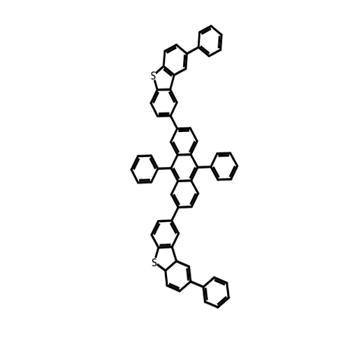 C1=CC2Sc3ccc(-c4ccc5c(-c6ccccc6)c6ccc(-c7ccc8sc9ccc(-c%10ccccc%10)cc9c8c7)cc6c(-c6ccccc6)c5c4)cc3C2C=C1c1ccccc1